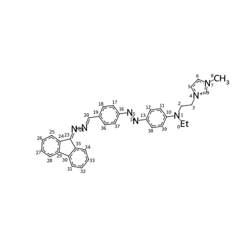 CCN(CC[n+]1ccn(C)c1)c1ccc(N=Nc2ccc(/C=N/N=C3c4ccccc4-c4ccccc43)cc2)cc1